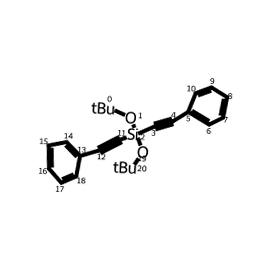 CC(C)(C)O[Si](C#Cc1ccccc1)(C#Cc1ccccc1)OC(C)(C)C